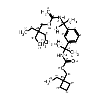 C=C(NC(C)(C)c1cccc(C(C)(C)NC(=O)OCC2(CC)CCC2)c1)OCC(CC)(CC)CC